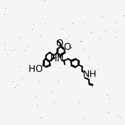 C=CCCNCCc1ccc(CC(C)Nc2cc(OC)c(OC)cc2C2CCc3cc(O)ccc3C2)cc1